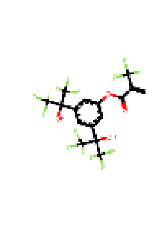 C=C(C(=O)Oc1cc(C(O)(C(F)(F)F)C(F)(F)F)cc(C(O)(C(F)(F)F)C(F)(F)F)c1)C(F)(F)F